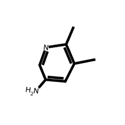 Cc1cc(N)cnc1C